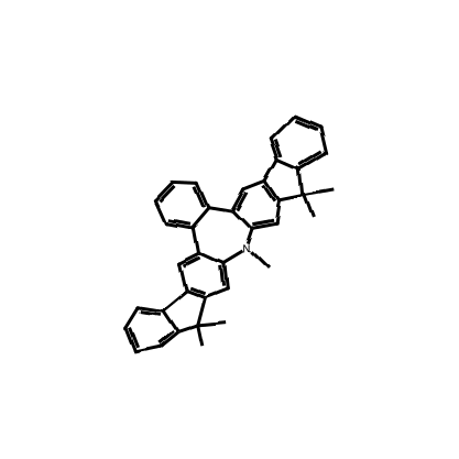 CN1c2cc3c(cc2-c2ccccc2-c2cc4c(cc21)C(C)(C)c1ccccc1-4)-c1ccccc1C3(C)C